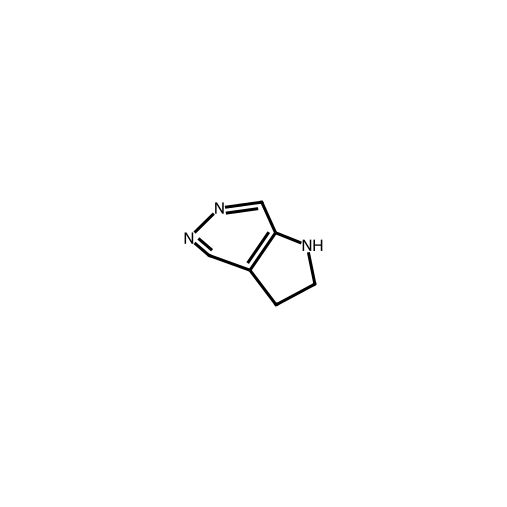 c1nncc2c1CCN2